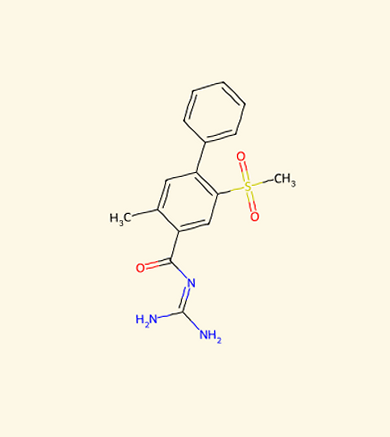 Cc1cc(-c2ccccc2)c(S(C)(=O)=O)cc1C(=O)N=C(N)N